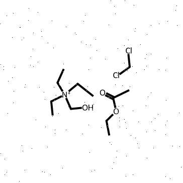 CCOC(C)=O.CC[N+](CC)(CC)CO.ClCCl